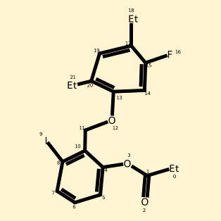 CCC(=O)Oc1cccc(I)c1COc1cc(F)c(CC)cc1CC